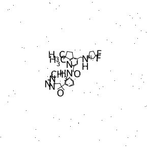 Cn1cnnc1CC1(c2cccc(NC(=O)c3cc(CN[C@@H]4CCC(F)(F)C4)c4c(n3)C(C)(C)CC4)c2)COC1